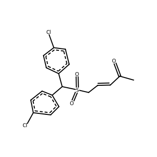 CC(=O)C=CCS(=O)(=O)C(c1ccc(Cl)cc1)c1ccc(Cl)cc1